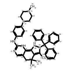 CCOC(=O)C1=C2C(=C3NC(Nc4ccc(N5CCN(C)CC5)cc4)=NC=C3CC2(C)C)NN1C(c1ccccc1)(c1ccccc1)c1ccccc1